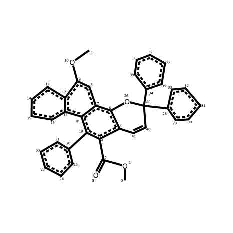 COC(=O)c1c2c(c3cc(OC)c4ccccc4c3c1-c1ccccc1)OC(c1ccccc1)(c1ccccc1)C=C2